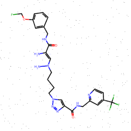 N/C(=C\N(N)CCCCn1cc(C(=O)NCc2cc(C(F)(F)F)ccn2)nn1)C(=O)NCc1cccc(OCF)c1